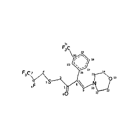 O=C(CSCC(F)C(F)(F)F)C(=CN1CCOCC1)c1cccc(C(F)(F)F)c1